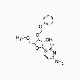 COCC1OC(n2ccc(N)nc2=O)C(O)C1OCOc1ccccc1